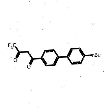 CCCCc1ccc(-c2ccc(C(=O)CC(=O)C(F)(F)F)cc2)cc1